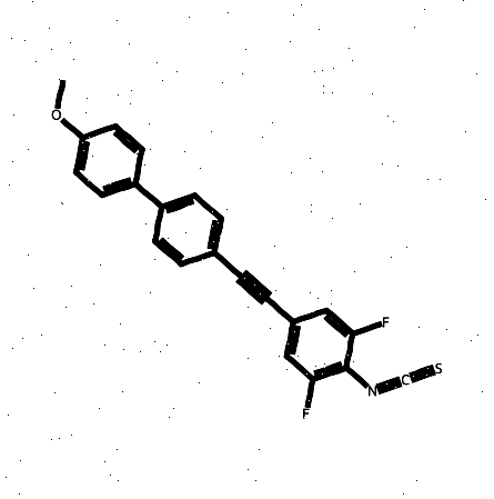 COc1ccc(-c2ccc(C#Cc3cc(F)c(N=C=S)c(F)c3)cc2)cc1